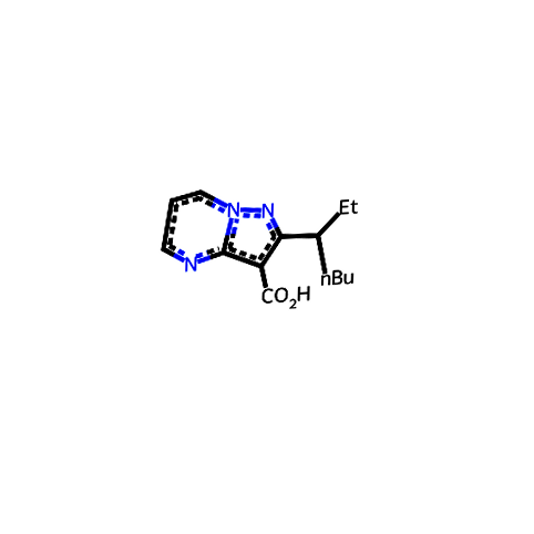 CCCCC(CC)c1nn2cccnc2c1C(=O)O